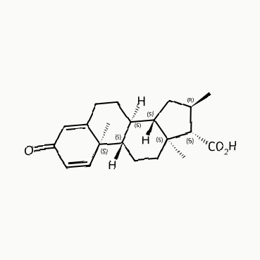 C[C@@H]1C[C@H]2[C@@H]3CCC4=CC(=O)C=C[C@]4(C)[C@H]3CC[C@]2(C)[C@H]1C(=O)O